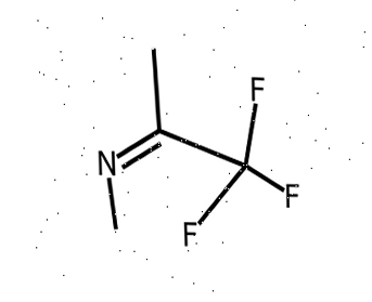 CN=C(C)C(F)(F)F